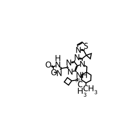 CC1CCC(Cn2c(C3(c4nccs4)CC3)nc3nc(-c4noc(=O)[nH]4)nc(N[C@H](C)C4CCC4)c32)CC1